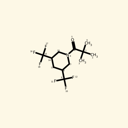 CC(C)(C)C(=O)N1CC(C(F)(F)F)CC(C(F)(F)F)C1